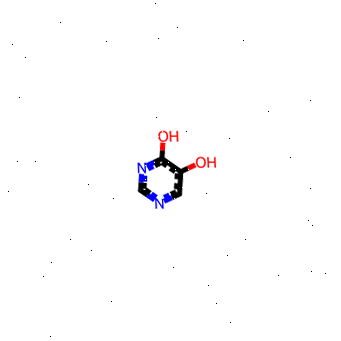 Oc1cncnc1O